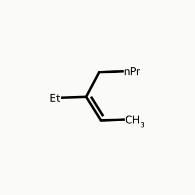 [CH2]CC(=CC)CCCC